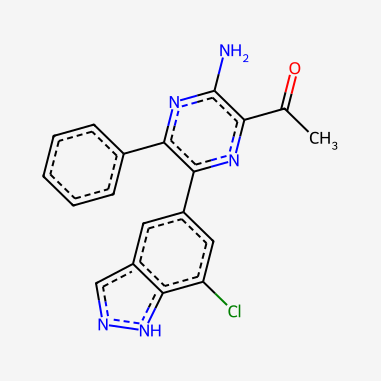 CC(=O)c1nc(-c2cc(Cl)c3[nH]ncc3c2)c(-c2ccccc2)nc1N